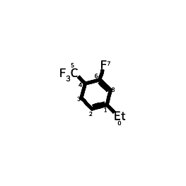 CCC1=CCC(C(F)(F)F)C(F)=C1